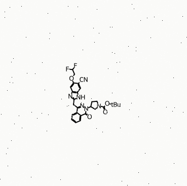 CC(C)(C)OC(=O)N1CCC(n2nc(Cc3nc4cc(OCC(F)F)c(C#N)cc4[nH]3)c3ccccc3c2=O)C1